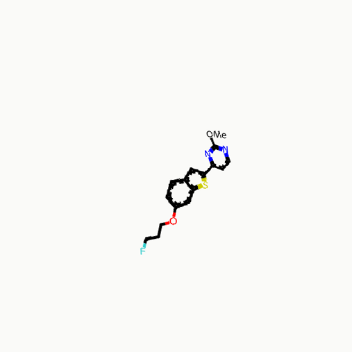 COc1nccc(-c2cc3ccc(OCCCF)cc3s2)n1